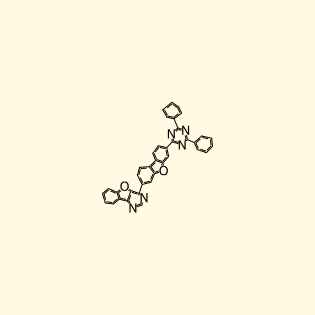 c1ccc(-c2nc(-c3ccccc3)nc(-c3ccc4c(c3)oc3cc(-c5ncnc6c5oc5ccccc56)ccc34)n2)cc1